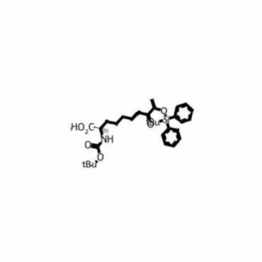 CC(O[Si](c1ccccc1)(c1ccccc1)C(C)(C)C)C(=O)CCCCC[C@H](NC(=O)OC(C)(C)C)C(=O)O